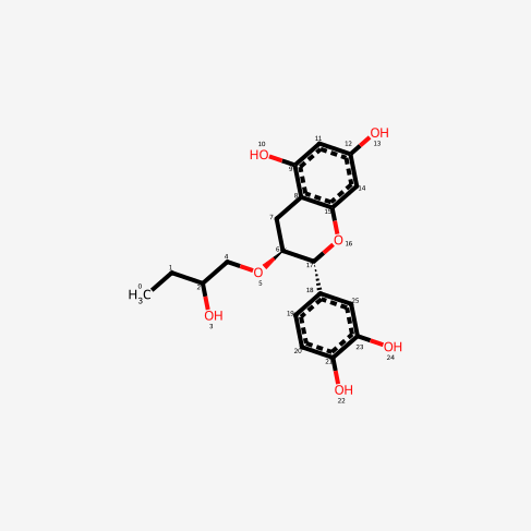 CCC(O)CO[C@H]1Cc2c(O)cc(O)cc2O[C@@H]1c1ccc(O)c(O)c1